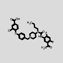 CCCCN(C(=O)Nc1cc(C(N)=O)c(F)cc1F)C1CCN(Cc2ccc(Oc3ccc(C(=O)O)cc3Cl)cc2)CC1